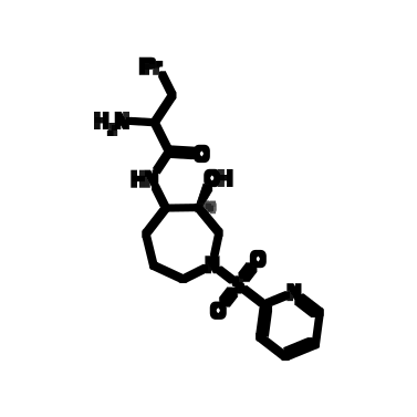 CC(C)CC(N)C(=O)NC1CCCN(S(=O)(=O)c2ccccn2)C[C@@H]1O